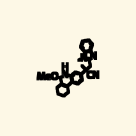 COC1Nc2cc(C(C)(C#N)Cc3nc4ccccc4n3C)ccc2C2=C1CCCC2